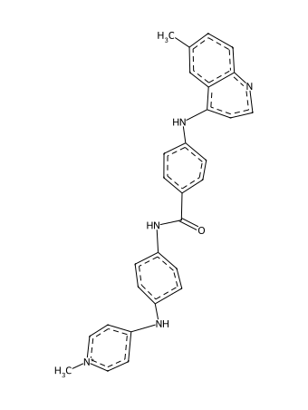 Cc1ccc2nccc(Nc3ccc(C(=O)Nc4ccc(Nc5cc[n+](C)cc5)cc4)cc3)c2c1